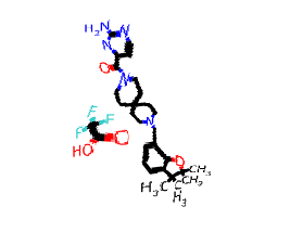 CC1(C)Oc2c(CN3CCC4(CC3)CCN(C(=O)c3ccnc(N)n3)CC4)cccc2C1(C)C.O=C(O)C(F)(F)F